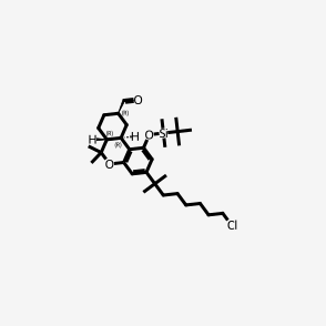 CC(C)(CCCCCCCl)c1cc2c(c(O[Si](C)(C)C(C)(C)C)c1)[C@@H]1C[C@H](C=O)CC[C@H]1C(C)(C)O2